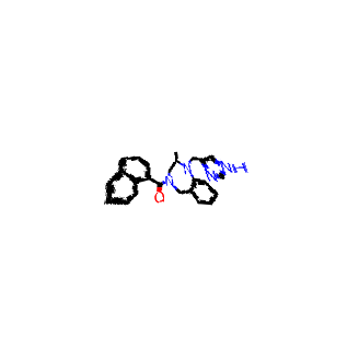 CC1CN(C(=O)c2cccc3ccccc23)Cc2ccccc2N1Cc1c[nH]cn1